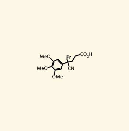 COc1cc(C(C#N)(CCC(=O)O)C(C)C)cc(OC)c1OC